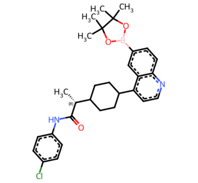 C[C@@H](C(=O)Nc1ccc(Cl)cc1)C1CCC(c2ccnc3ccc(B4OC(C)(C)C(C)(C)O4)cc23)CC1